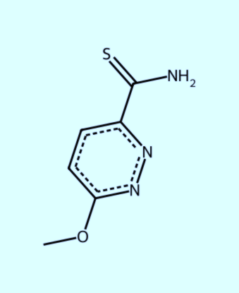 COc1ccc(C(N)=S)nn1